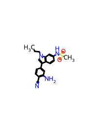 CCCn1cc(-c2ccc(C#N)c(N)c2)c2ccc(NS(C)(=O)=O)cc21